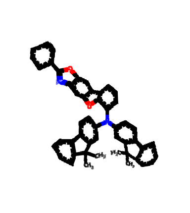 CC1(C)c2ccccc2-c2ccc(N(c3ccc4c(c3)C(C)(C)c3ccccc3-4)c3cccc4c3oc3cc5nc(-c6ccccc6)oc5cc34)cc21